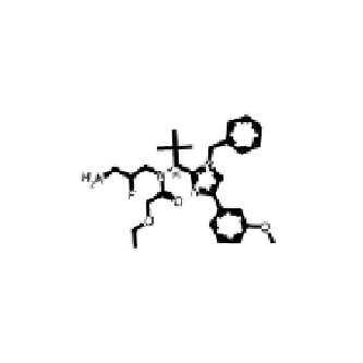 CCOCC(=O)N(CC(F)CN)[C@@H](c1nc(-c2cccc(OC)c2)cn1Cc1ccccc1)C(C)(C)C